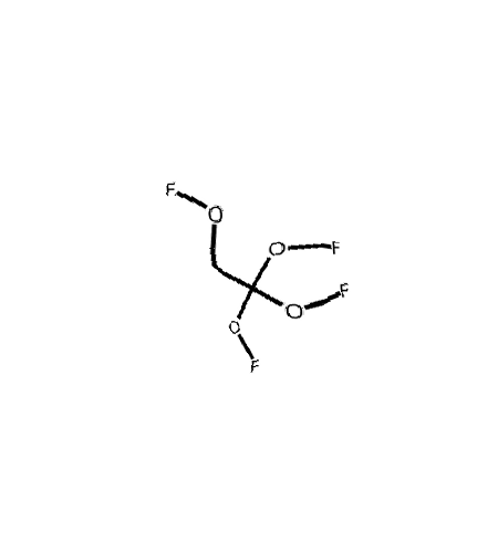 FOCC(OF)(OF)OF